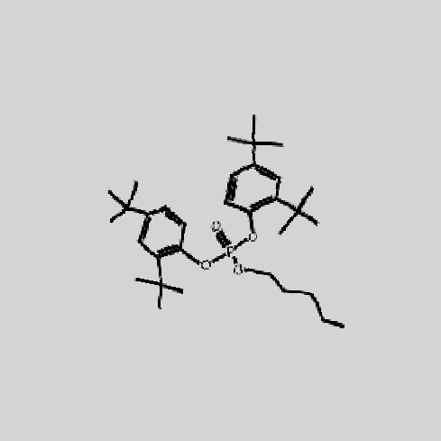 CCCCCOP(=O)(Oc1ccc(C(C)(C)C)cc1C(C)(C)C)Oc1ccc(C(C)(C)C)cc1C(C)(C)C